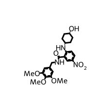 COc1cc(CNC(=O)c2cc([N+](=O)[O-])ccc2N[C@H]2CC[C@@H](O)CC2)cc(OC)c1OC